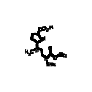 CC(=O)N[C@H](CC[C@@H](C)C1NC(C(=O)O)CS1)C(=O)OC(C)(C)C